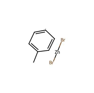 Cc1cc[c]cc1.[Br][Zn][Br]